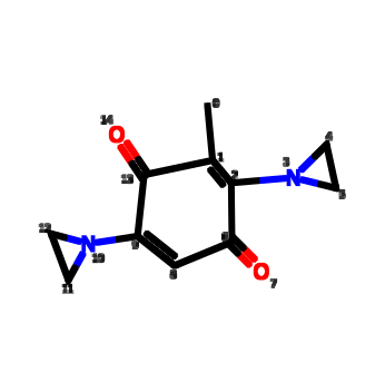 CC1=C(N2CC2)C(=O)C=C(N2CC2)C1=O